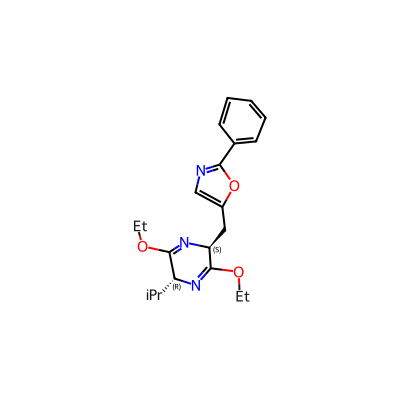 CCOC1=N[C@H](C(C)C)C(OCC)=N[C@H]1Cc1cnc(-c2ccccc2)o1